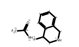 FC1CNCc2ccccc21.NC(=O)C(F)(F)F